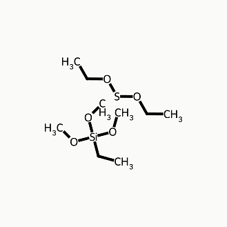 CCOSOCC.CC[Si](OC)(OC)OC